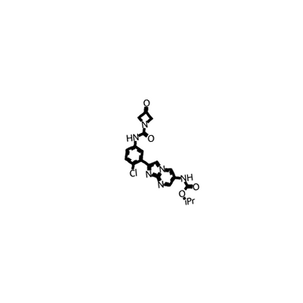 CC(C)OC(=O)Nc1cnc2nc(-c3cc(NC(=O)N4CC(=O)C4)ccc3Cl)cn2c1